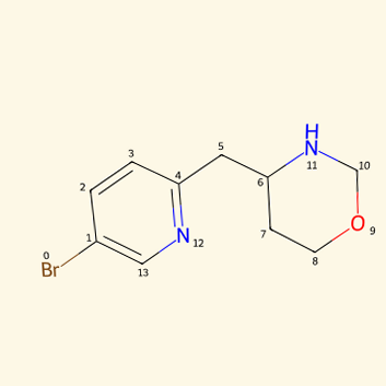 Brc1ccc(CC2CCOCN2)nc1